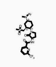 CC(C)N(C)[C@@H]1CC[C@H](N2CC[C@H](NC(=O)c3cccc(C(F)(F)F)n3)C2=O)[C@@H](CS(C)(=O)=O)C1